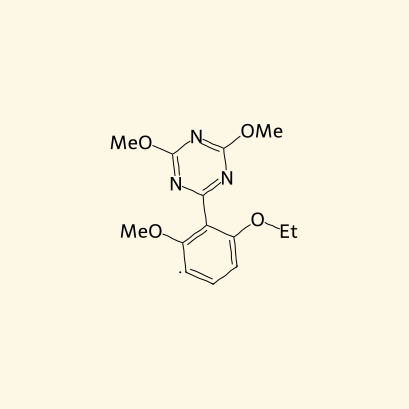 CCOc1cc[c]c(OC)c1-c1nc(OC)nc(OC)n1